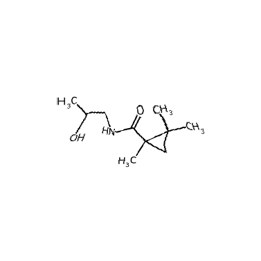 CC(O)CNC(=O)C1(C)CC1(C)C